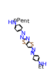 CCCCCNc1ccc(N=Nc2nc3sc(N=Nc4ccc(NCC)cc4)cc3s2)cc1